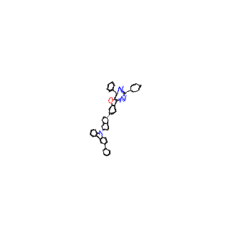 C1=CCC(c2nc(-c3ccccc3)c3oc4cc(-c5ccc6cc(-n7c8ccccc8c8cc(-c9ccccc9)ccc87)ccc6c5)ccc4c3n2)C=C1